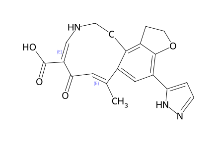 C/C1=C\C(=O)/C(C(=O)O)=C\NCCc2c1cc(-c1ccn[nH]1)c1c2CCO1